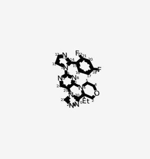 CC[C@@]12COCCN1c1nc(-n3ccnc3-c3ccc(F)cc3F)ncc1-n1cnnc12